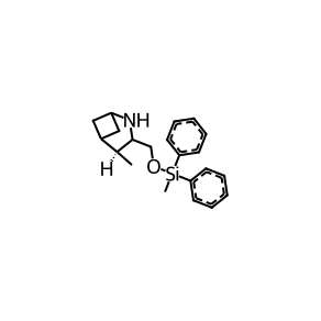 C[C@H]1C2CC(C2)NC1CO[Si](C)(c1ccccc1)c1ccccc1